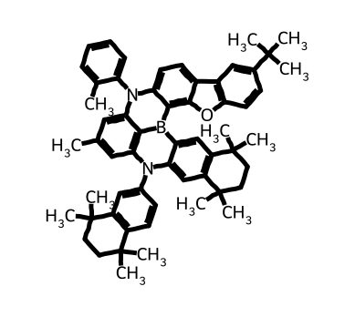 Cc1cc2c3c(c1)N(c1ccccc1C)c1ccc4c(oc5ccc(C(C)(C)C)cc54)c1B3c1cc3c(cc1N2c1ccc2c(c1)C(C)(C)CCC2(C)C)C(C)(C)CCC3(C)C